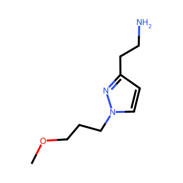 COCCCn1ccc(CCN)n1